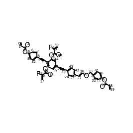 C=CC(=O)Oc1ccc(C#Cc2c(OC(=O)C(=C)F)cc(C#Cc3ccc(/C=C/OCc4ccc(OC(=O)C=C)cc4)cc3)cc2OC(=O)C(=C)F)cc1